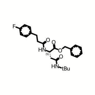 CC(C)(C)NC(=O)C[C@H](NC(=O)CCc1ccc(F)cc1)C(=O)OCc1ccccc1